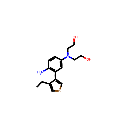 CCc1cscc1-c1cc(N(CCO)CCO)ccc1N